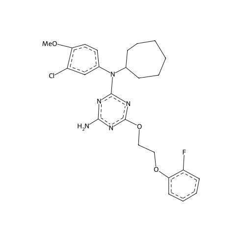 COc1ccc(N(c2nc(N)nc(OCCOc3ccccc3F)n2)C2CCCCCC2)cc1Cl